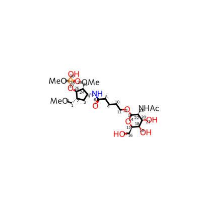 COC[C@H]1C[C@@H](NC(=O)CCCCO[C@@H]2O[C@H](CO)[C@H](O)[C@H](O)[C@H]2NC(C)=O)[C@@H](OC)C1OP(=O)(O)OC